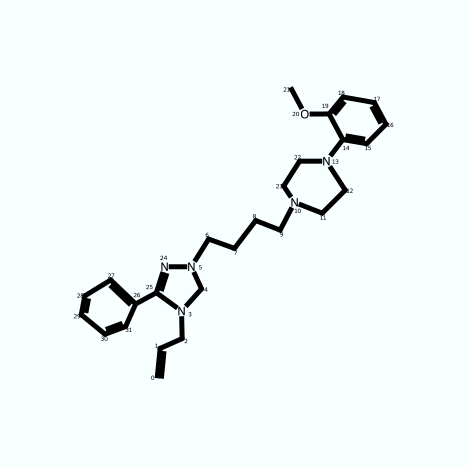 C=CCN1CN(CCCCN2CCN(c3ccccc3OC)CC2)N=C1c1ccccc1